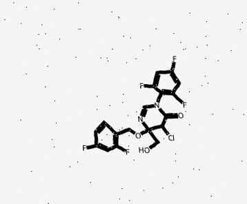 O=C1C(Cl)C(CO)(OCc2ccc(F)cc2F)N=CN1c1c(F)cc(F)cc1F